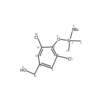 CC(C)(C)[Si](C)(C)Oc1c(Cl)cc(CO)cc1Cl